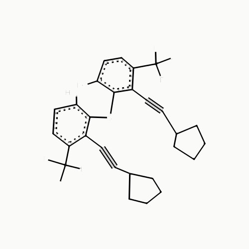 Cc1ccc(C(F)(F)F)c(C#CC2CCCC2)c1Sc1c(C)ccc(C(F)(F)F)c1C#CC1CCCC1